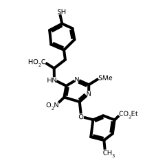 CCOC(=O)c1cc(C)cc(Oc2nc(SC)nc(NC(Cc3ccc(S)cc3)C(=O)O)c2[N+](=O)[O-])c1